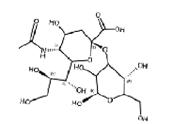 CC(=O)N[C@@H]1C(O)C[C@](OC2C(O)[C@H](O)OC(CO)[C@H]2O)(C(=O)O)OC1[C@H](O)[C@H](O)CO